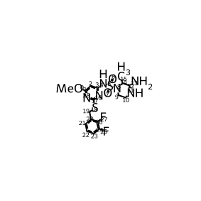 COc1cc(NS(=O)(=O)N2CCN[C@H](N)[C@@H]2C)nc(SCc2cccc(F)c2F)n1